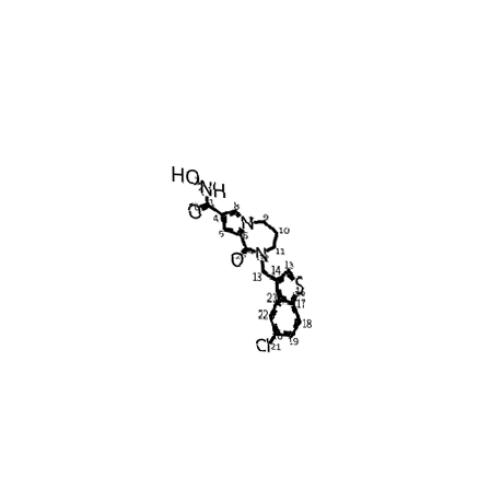 O=C(NO)c1cc2n(c1)CCCN(Cc1csc3ccc(Cl)cc13)C2=O